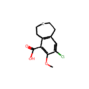 COc1c(Cl)cc2c(c1C(=O)O)CCCCC2